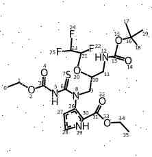 CCOC(=O)NC(=S)N(CC(CNC(=O)OC(C)(C)C)OC(F)C(F)F)c1cc[nH]c1C(=O)OCC